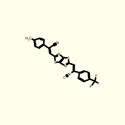 [C-]#[N+]/C(=C\c1nc2sc(/C=C(\C#N)c3ccc(C)cc3)nc2s1)c1ccc(C(F)(F)F)cc1